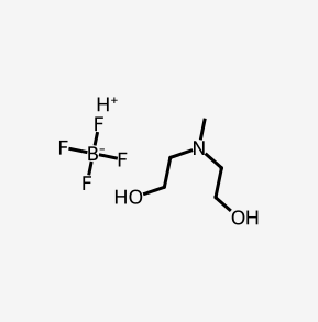 CN(CCO)CCO.F[B-](F)(F)F.[H+]